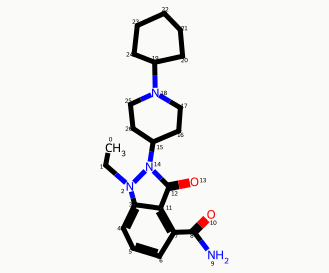 CCn1c2cccc(C(N)=O)c2c(=O)n1C1CCN(C2CCCCC2)CC1